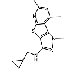 Cc1cc(C)c2c(n1)sc1c(NCC3CC3)nn(C)c12